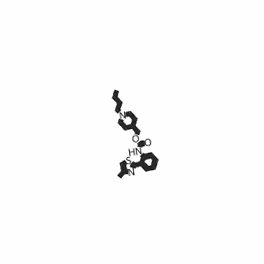 CCCCN1CCC(COC(=O)Nc2ccccc2-c2nc(C)cs2)CC1